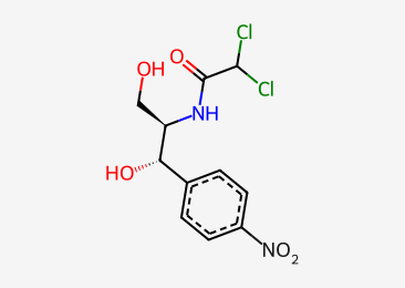 O=C(N[C@H](CO)[C@@H](O)c1ccc([N+](=O)[O-])cc1)C(Cl)Cl